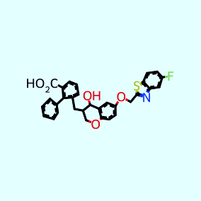 O=C(O)c1cccc(CC2COc3ccc(OCc4nc5cc(F)ccc5s4)cc3C2O)c1-c1ccccc1